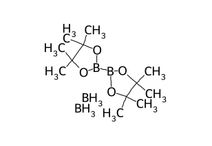 B.B.CC1(C)OB(B2OC(C)(C)C(C)(C)O2)OC1(C)C